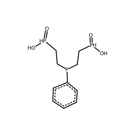 O=[PH](O)CCP(CC[PH](=O)O)c1ccccc1